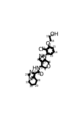 O=C(NC1COCc2c1cnn2-c1cccc(OCCO)c1Cl)c1ncn2c1CCCC2